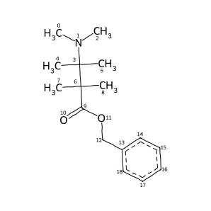 CN(C)C(C)(C)C(C)(C)C(=O)OCc1ccccc1